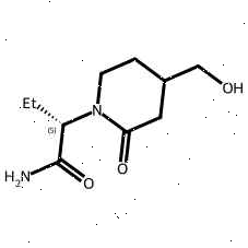 CC[C@@H](C(N)=O)N1CCC(CO)CC1=O